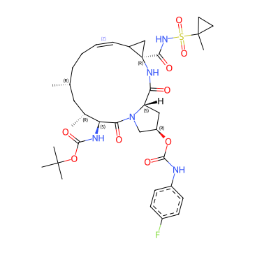 C[C@@H]1CC/C=C\C2C[C@@]2(C(=O)NS(=O)(=O)C2(C)CC2)NC(=O)[C@@H]2C[C@@H](OC(=O)Nc3ccc(F)cc3)CN2C(=O)[C@@H](NC(=O)OC(C)(C)C)[C@H](C)C1